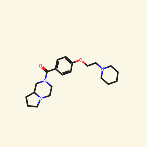 O=C(c1ccc(OCCN2CCCCC2)cc1)N1CCN2CCCC2C1